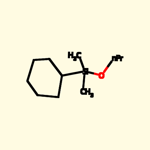 CCCO[Si](C)(C)C1CCCCC1